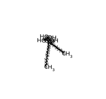 CCCCCCCCCCCCCCCCCCN(C(=O)CCCCCCCCCCC)C1O[C@H](CO)[C@@H](O)[C@H](O)[C@H]1O